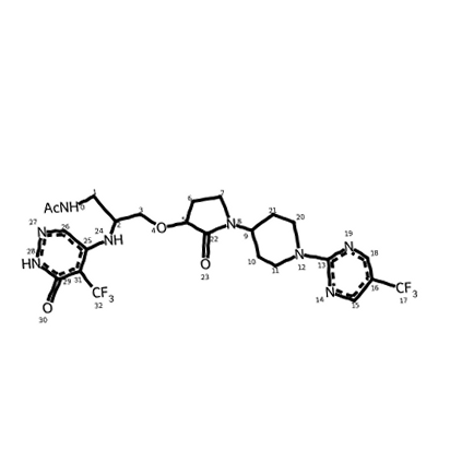 CC(=O)NCC(COC1CCN(C2CCN(c3ncc(C(F)(F)F)cn3)CC2)C1=O)Nc1cn[nH]c(=O)c1C(F)(F)F